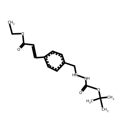 CCOC(=O)C=Cc1ccc(CNNC(=O)OC(C)(C)C)cc1